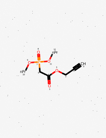 C#CCOC(=O)CP(=O)(OCCC)OCCC